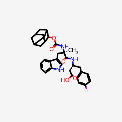 C[C@](Cc1c[nH]c2ccccc12)(NC(=O)OC1C2CC3CC(C2)CC1C3)C(=O)N[C@H](CC(=O)O)Cc1ccc(I)cc1